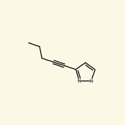 CCCC#CC1=N[N]C=C1